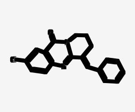 O=c1c2cc(Cl)ccc2nc2n1CCCC2=Cc1ccccc1